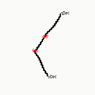 CCCCCCCCCCCCCCCCCCCCCCCCCCCCCC(=O)OCCCCCCCCCCOC(=O)CCCCCCCCCCCCCCCCCCCCCCCCCCCCC